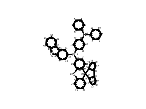 c1ccc(N(c2ccccc2)c2ccc(N(c3ccc4c(c3)Sc3ccccc3C43c4ccccc4-c4ccccc43)c3ccc4oc5ccccc5c4c3)cc2)cc1